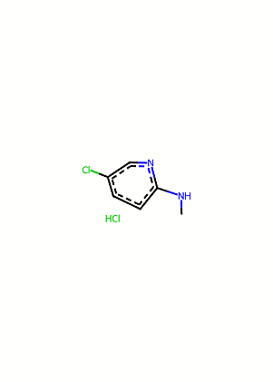 CNc1ccc(Cl)cn1.Cl